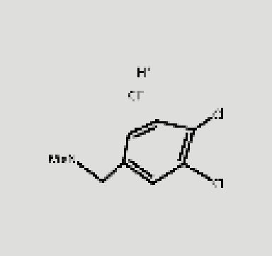 CNCc1ccc(Cl)c(Cl)c1.[Cl-].[H+]